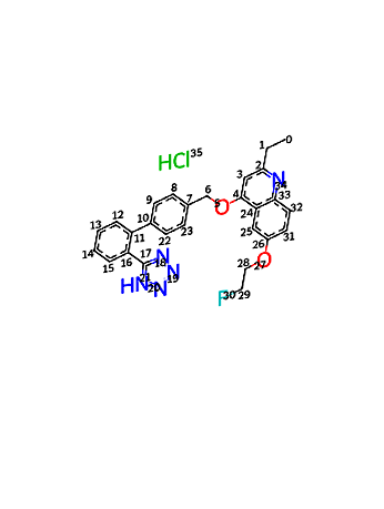 CCc1cc(OCc2ccc(-c3ccccc3-c3nnn[nH]3)cc2)c2cc(OCCF)ccc2n1.Cl